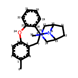 Cc1ccc2c(c1)CC(N1C3CCC1CN(C)C3)c1ccccc1O2